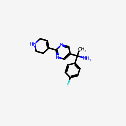 CC(N)(c1ccc(F)cc1)c1cnc(C2=CCNCC2)nc1